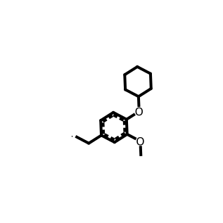 [CH2]Cc1ccc(OC2CCCCC2)c(OC)c1